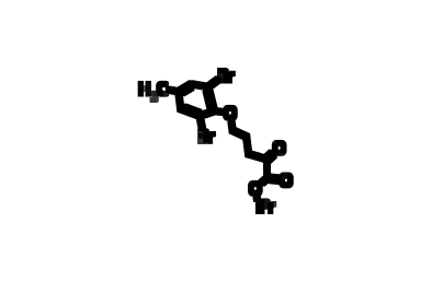 Cc1cc(Br)c(OCCCC(=O)C(=O)OC(C)C)c(Br)c1